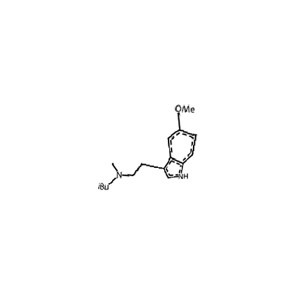 CCC(C)N(C)CCc1c[nH]c2ccc(OC)cc12